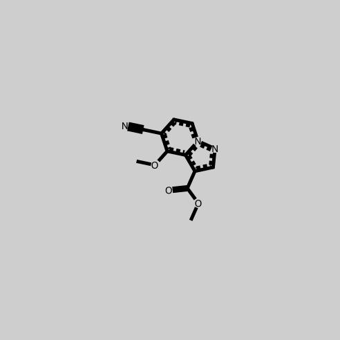 COC(=O)c1cnn2ccc(C#N)c(OC)c12